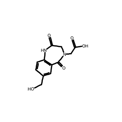 O=C(O)CN1CC(=O)Nc2ccc(CO)cc2C1=O